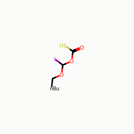 CCCCCOC(I)OC(=O)S